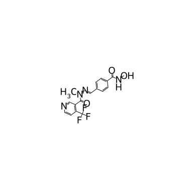 CN(N=Cc1ccc(C(=O)NO)cc1)C(=O)c1cnccc1C(F)(F)F